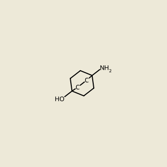 NC12CCC(O)(CC1)CC2